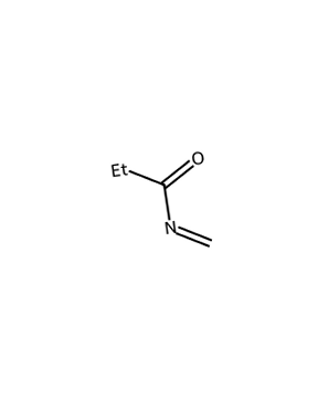 C=NC(=O)CC